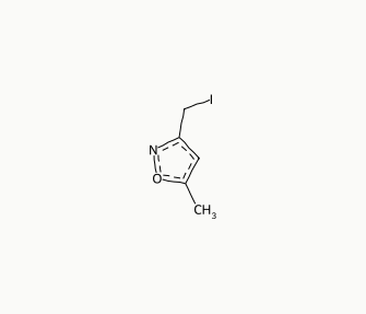 Cc1cc(CI)no1